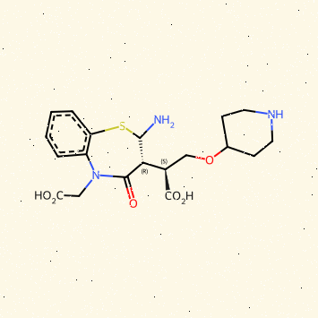 NC1Sc2ccccc2N(CC(=O)O)C(=O)[C@H]1[C@@H](COC1CCNCC1)C(=O)O